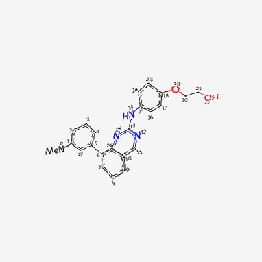 CNc1cccc(-c2cccc3cnc(Nc4ccc(OCCO)cc4)nc23)c1